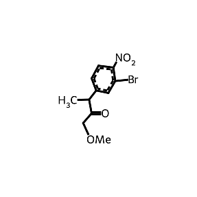 COCC(=O)C(C)c1ccc([N+](=O)[O-])c(Br)c1